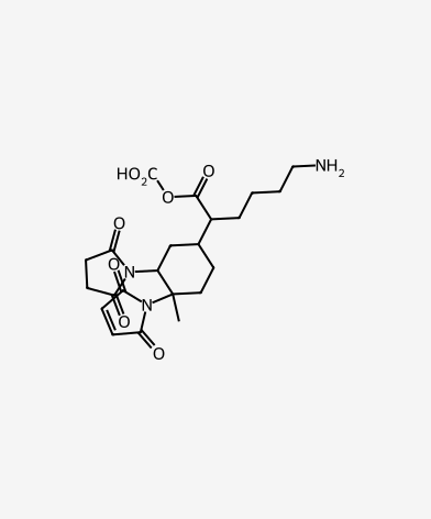 CC1(N2C(=O)C=CC2=O)CCC(C(CCCCN)C(=O)OC(=O)O)CC1N1C(=O)CCC1=O